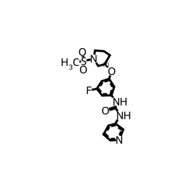 CS(=O)(=O)N1CCC[C@@H](Oc2cc(F)cc(NC(=O)Nc3cccnc3)c2)C1